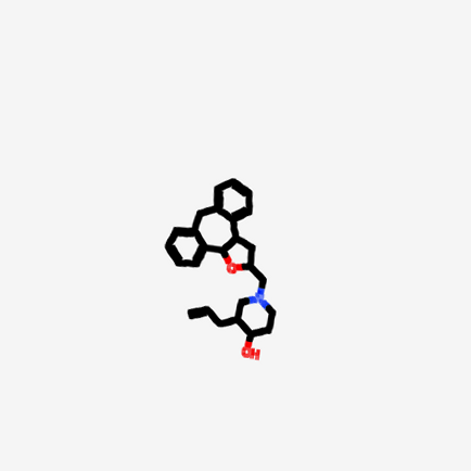 C=CCC1CN(CC2CC3c4ccccc4Cc4ccccc4C3O2)CCC1O